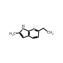 CCc1ccc2cc(C)[nH]c2n1